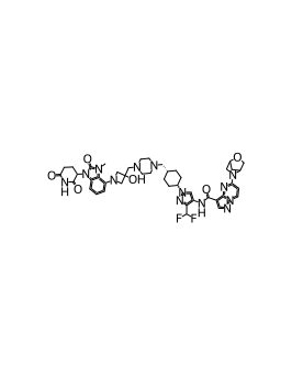 Cn1c(=O)n(C2CCC(=O)NC2=O)c2cccc(N3CC(O)(CN4CCN(C[C@H]5CC[C@H](n6cc(NC(=O)c7cnn8ccc(N9CC%10CC9CO%10)nc78)c(C(F)F)n6)CC5)CC4)C3)c21